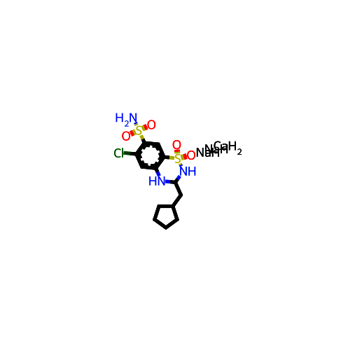 NS(=O)(=O)c1cc2c(cc1Cl)NC(CC1CCCC1)NS2(=O)=O.[CaH2].[NaH].[NaH]